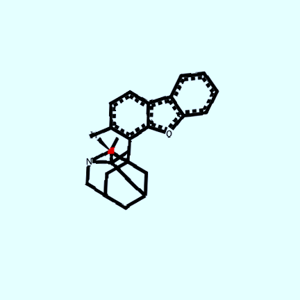 Cc1ccc2c(oc3ccccc32)c1C12CC3CC(C1)C(C)(C)N(C3)[C@@H]2C